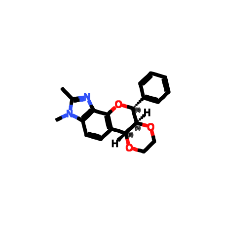 Cc1nc2c3c(ccc2n1C)[C@H]1OCCO[C@@H]1[C@@H](c1ccccc1)O3